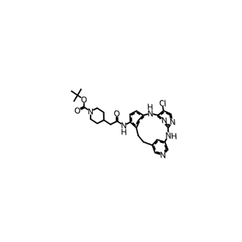 CC(C)(C)OC(=O)N1CCC(CC(=O)Nc2ccc3cc2CCc2cncc(c2)Nc2ncc(Cl)c(n2)N3)CC1